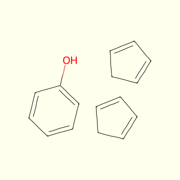 C1=CCC=C1.C1=CCC=C1.Oc1ccccc1